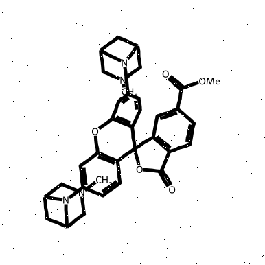 COC(=O)c1ccc2c(c1)C1(OC2=O)c2ccc(N3C4CC3CN(C)C4)cc2Oc2cc(N3C4CC3CN(C)C4)ccc21